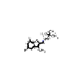 Cc1c(/C=N/SC(C)(C)C)sc2c(F)cc(F)cc12